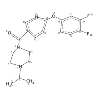 CC(C)N1CCN(C(=O)c2ccc(Oc3ccc(F)c(F)c3)nc2)CC1